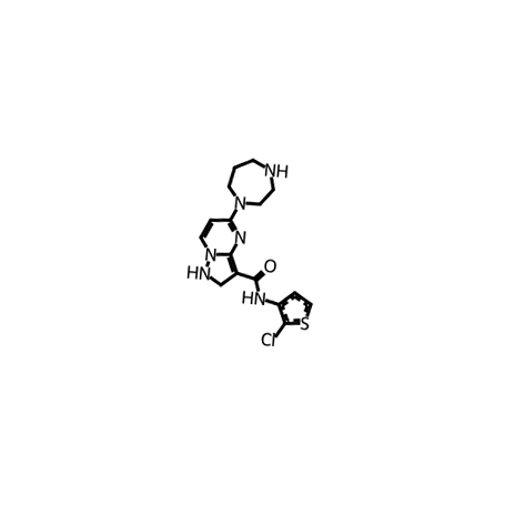 O=C(Nc1ccsc1Cl)C1=C2N=C(N3CCCNCC3)C=CN2NC1